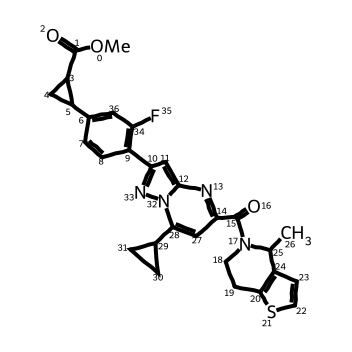 COC(=O)C1CC1c1ccc(-c2cc3nc(C(=O)N4CCc5sccc5C4C)cc(C4CC4)n3n2)c(F)c1